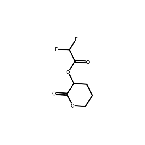 O=C(OC1CCCOC1=O)C(F)F